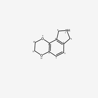 c1cc2c(c3c1CNC3)OCCO2